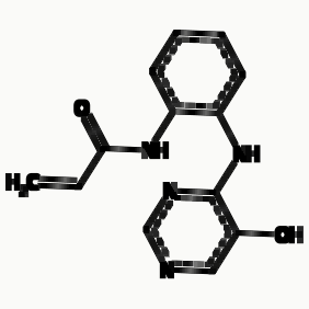 C=CC(=O)Nc1ccccc1Nc1ncncc1O